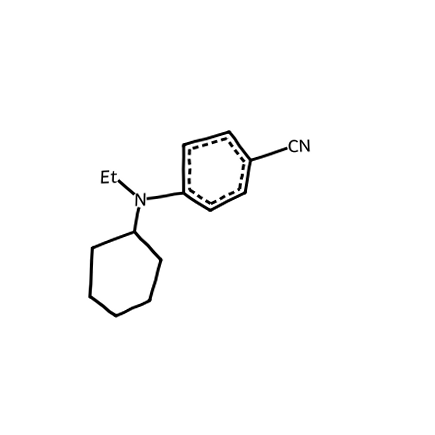 CCN(c1ccc(C#N)cc1)C1CCCCC1